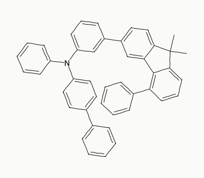 CC1(C)c2ccc(-c3cccc(N(c4ccccc4)c4ccc(-c5ccccc5)cc4)c3)cc2-c2c(-c3ccccc3)cccc21